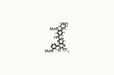 CNc1cccc(-n2c(=O)c(C(F)(F)F)nc3cnc(Nc4ccc(N5CCNCC5)c(OC)c4)nc32)c1